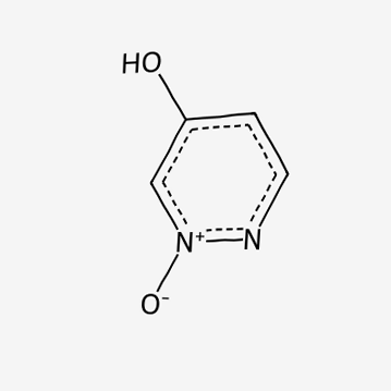 [O-][n+]1cc(O)ccn1